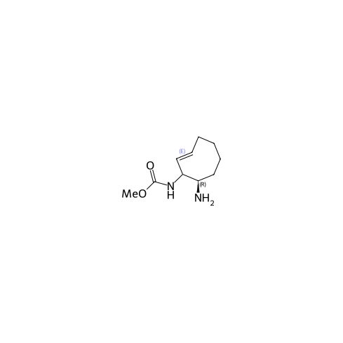 COC(=O)NC1/C=C/CCCC[C@H]1N